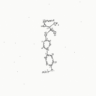 CCCCCCCCOc1ccc(-c2ccc(OC(=O)C(OCCCCC)C(F)(F)F)cc2)cc1